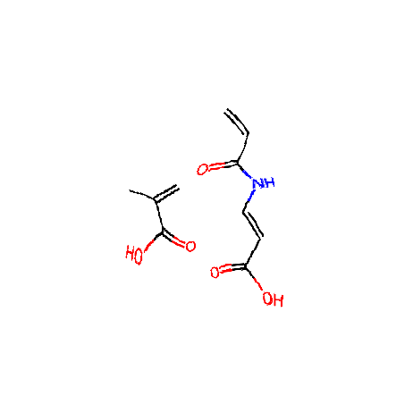 C=C(C)C(=O)O.C=CC(=O)NC=CC(=O)O